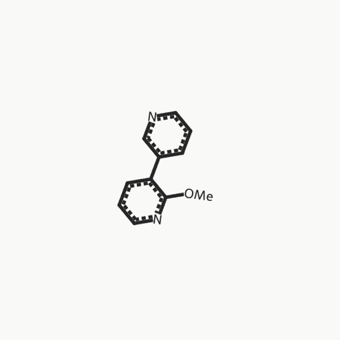 COc1ncccc1-c1cccnc1